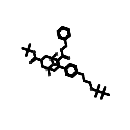 CN1[C@@H]2CC(c3ccc(CCCO[Si](C)(C)C(C)(C)C)cc3)=C(C(=O)OCc3ccccc3)[C@H]1CN(C(=O)OC(C)(C)C)C2